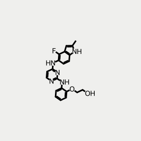 Cc1cc2c(F)c(Nc3ccnc(Nc4ccccc4OCCO)n3)ccc2[nH]1